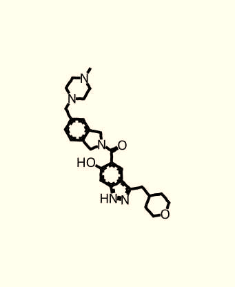 CN1CCN(Cc2ccc3c(c2)CN(C(=O)c2cc4c(CC5CCOCC5)n[nH]c4cc2O)C3)CC1